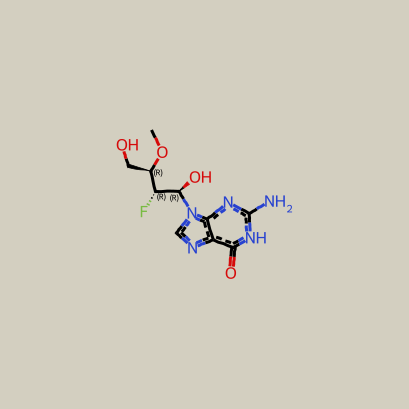 CO[C@H](CO)[C@@H](F)[C@@H](O)n1cnc2c(=O)[nH]c(N)nc21